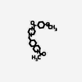 CO[C@H]1CC[C@H](C(=O)N2CCN(CC3CCC4(CC3)CCN(C(C)=O)CC4)CC2)CC1